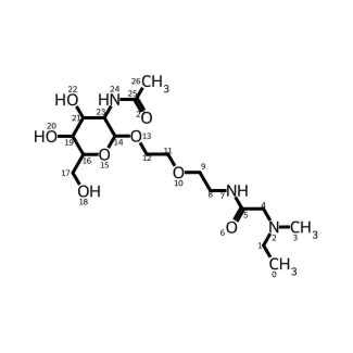 CCN(C)CC(=O)NCCOCCOC1OC(CO)C(O)C(O)C1NC(C)=O